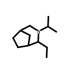 CCC1C2CCC(C2)CN1C(C)C